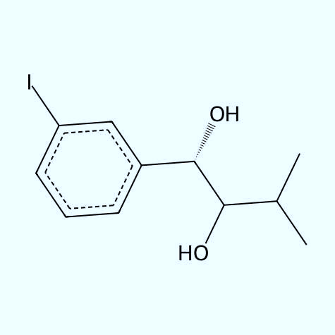 CC(C)C(O)[C@@H](O)c1cccc(I)c1